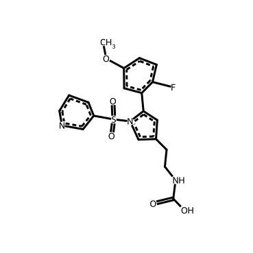 COc1ccc(F)c(-c2cc(CCNC(=O)O)cn2S(=O)(=O)c2cccnc2)c1